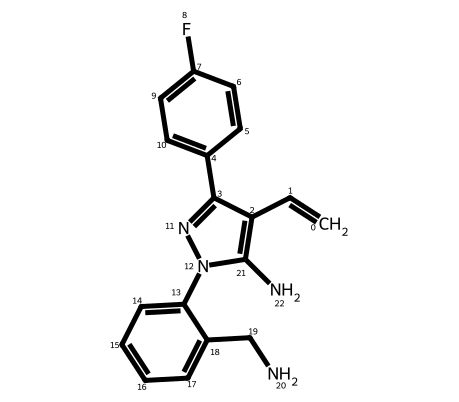 C=Cc1c(-c2ccc(F)cc2)nn(-c2ccccc2CN)c1N